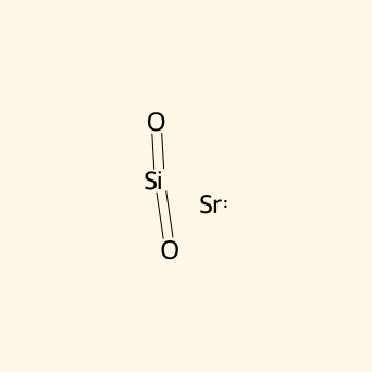 O=[Si]=O.[Sr]